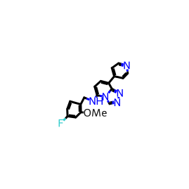 COc1cc(F)ccc1CNc1ccc(-c2ccncc2)c2nncn12